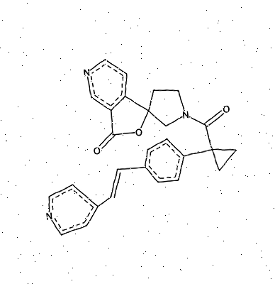 O=C1OC2(CCN(C(=O)C3(c4ccc(/C=C/c5ccncc5)cc4)CC3)C2)c2ccncc21